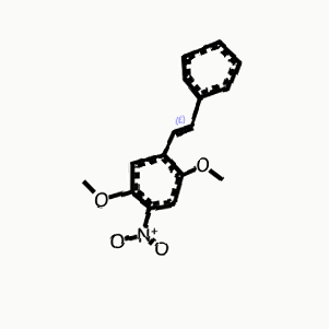 COc1cc([N+](=O)[O-])c(OC)cc1/C=C/c1ccccc1